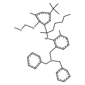 CCCCCC(C)(Pc1c(C)cccc1CN(Cc1ccccc1)Cc1ccccc1)c1cc(C(C)(C)C)cc(C)c1OCOC